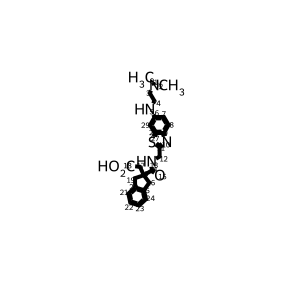 CN(C)CCNc1ccc2nc(CNC(=O)C3(CC(=O)O)Cc4ccccc4C3)sc2c1